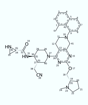 Cc1cccc2cccc(N3CCc4c(nc(OC[C@@H]5CCCN5C)nc4N4CC[C@H](NC(=O)[C@@H]5CN5)[C@@H](CC#N)C4)C3)c12